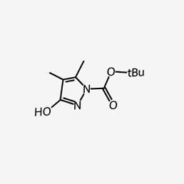 Cc1c(O)nn(C(=O)OC(C)(C)C)c1C